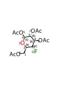 CC(=O)OC[C@H]1O[C@@H](OC(C)=O)[C@H](OC(C)=O)[C@@H](OC(C)=O)[C@@H]1F